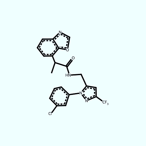 CC(C(=O)NCc1cc(C(F)(F)F)nn1-c1cccc(Cl)c1)c1cccc2ncoc12